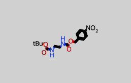 CC(C)(C)OC(=O)NCCNC(=O)OCc1ccc([N+](=O)[O-])cc1